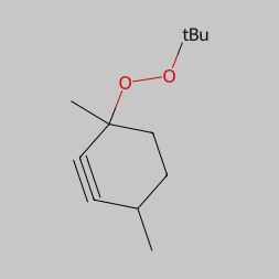 CC1C#CC(C)(OOC(C)(C)C)CC1